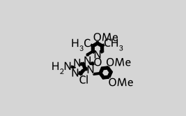 COc1cc(Cn2c(=O)n(Cc3ncc(C)c(OC)c3C)c3nc(N)nc(Cl)c32)cc(OC)c1